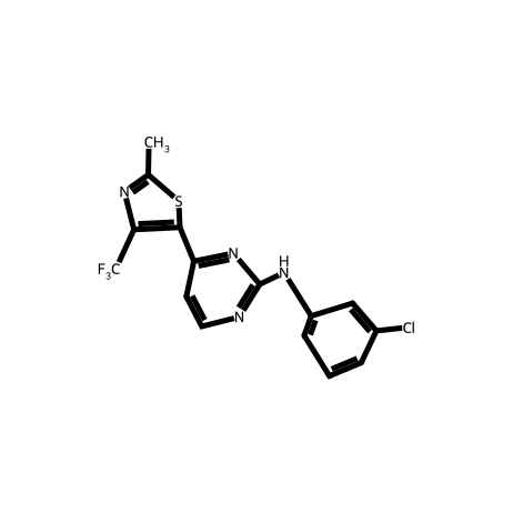 Cc1nc(C(F)(F)F)c(-c2ccnc(Nc3cccc(Cl)c3)n2)s1